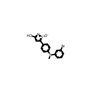 CN(c1ccc(-c2cc(O)n[s+]2[O-])cc1)c1cccc(Br)c1